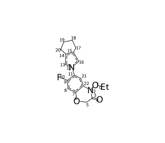 CCON1C(=O)COc2cc(F)c(-n3cc4c(c3)CCCC4)cc21